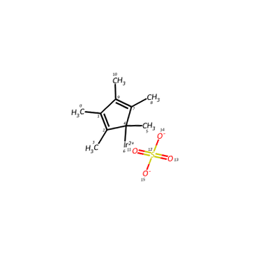 CC1=C(C)[C](C)([Ir+2])C(C)=C1C.O=S(=O)([O-])[O-]